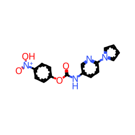 O=C(Nc1ccc(-n2cccc2)nc1)Oc1ccc([N+](=O)O)cc1